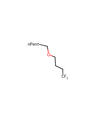 CCCCCCOCC[CH]C(F)(F)F